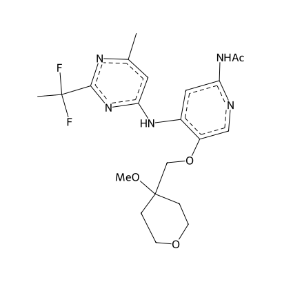 COC1(COc2cnc(NC(C)=O)cc2Nc2cc(C)nc(C(C)(F)F)n2)CCOCC1